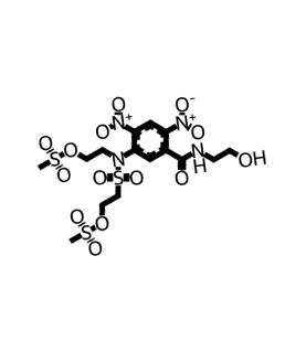 CS(=O)(=O)OCCN(c1cc(C(=O)NCCO)c([N+](=O)[O-])cc1[N+](=O)[O-])S(=O)(=O)CCOS(C)(=O)=O